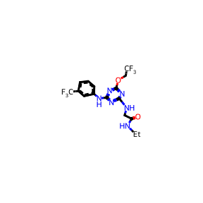 CCNC(=O)CNc1nc(Nc2cccc(C(F)(F)F)c2)nc(OCC(F)(F)F)n1